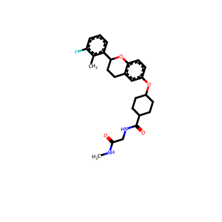 CNC(=O)CNC(=O)C1CCC(Oc2ccc3c(c2)CCC(c2cccc(F)c2C)O3)CC1